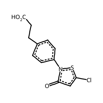 O=C(O)CCc1ccc(-n2sc(Cl)cc2=O)cc1